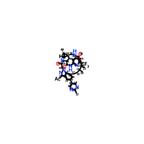 CC(=O)c1nn2c3c(cc(-c4cnc(C)nc4)cc13)CCC(C)C(C)CCC(=O)NC[C@@]13C[C@@H](C(=O)Nc4cccc(C(F)(F)F)n4)N(C(=O)C2)[C@@H]1[C@@H]3C